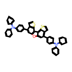 c1ccc(N(c2ccccc2)c2ccc(-c3cc4oc5cc(-c6ccc(N(c7ccccc7)c7ccccc7)cc6)c6ccsc6c5c4c4sccc34)cc2)cc1